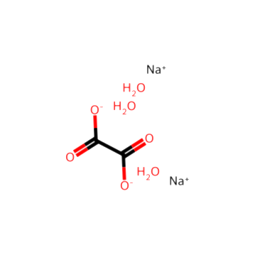 O.O.O.O=C([O-])C(=O)[O-].[Na+].[Na+]